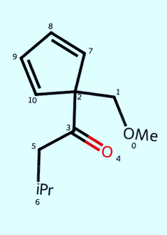 COCC1(C(=O)CC(C)C)C=CC=C1